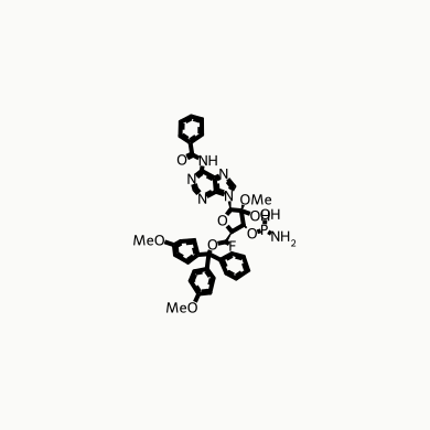 COc1ccc(C(OC(F)[C@H]2O[C@@H](n3cnc4c(NC(=O)c5ccccc5)ncnc43)[C@@](O)(OC)[C@@H]2OP(N)O)(c2ccccc2)c2ccc(OC)cc2)cc1